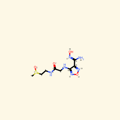 C[S+]([O-])CCNC(=O)CNc1nonc1/C(N)=N/O